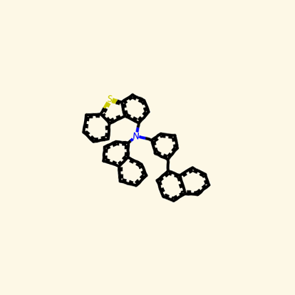 c1cc(-c2cccc3ccccc23)cc(N(c2cccc3ccccc23)c2cccc3sc4ccccc4c23)c1